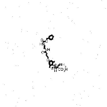 Cc1cc(OCCCC(=O)NCCNC(=O)OCc2ccccc2)cc(C)c1S(=O)(=O)NC(CN)C(=O)O